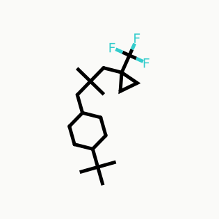 CC(C)(CC1CCC(C(C)(C)C)CC1)CC1(C(F)(F)F)CC1